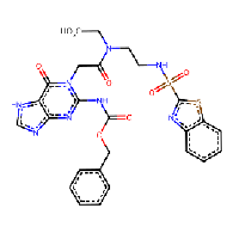 O=C(O)CN(CCNS(=O)(=O)c1nc2ccccc2s1)C(=O)Cn1c(NC(=O)OCc2ccccc2)nc2nc[nH]c2c1=O